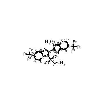 CCS(=O)(=O)c1c(-c2nc3cc(C(F)(F)F)cnc3n2C)nc2cc(C(F)(F)F)ccn12